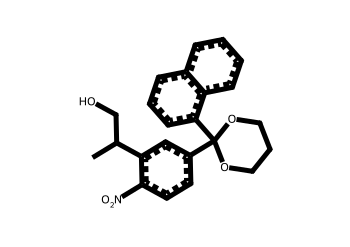 CC(CO)c1cc(C2(c3cccc4ccccc34)OCCCO2)ccc1[N+](=O)[O-]